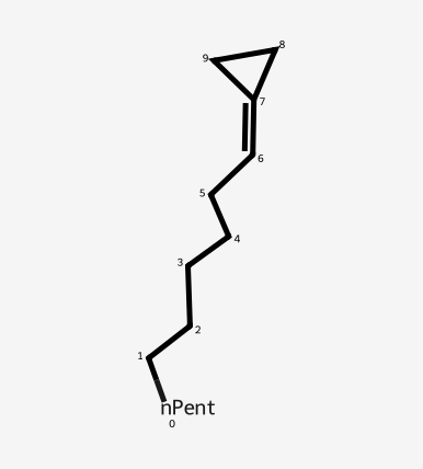 CCCCCCCCCCC=C1CC1